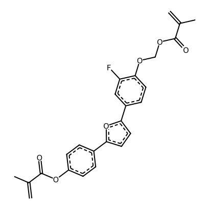 C=C(C)C(=O)OCOc1ccc(-c2ccc(-c3ccc(OC(=O)C(=C)C)cc3)o2)cc1F